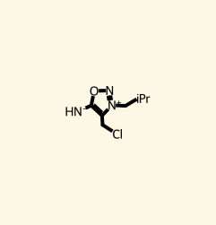 CC(C)C[n+]1noc([NH-])c1CCl